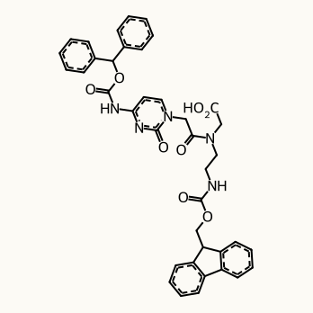 O=C(O)CN(CCNC(=O)OCC1c2ccccc2-c2ccccc21)C(=O)Cn1ccc(NC(=O)OC(c2ccccc2)c2ccccc2)nc1=O